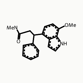 CNC(=O)CC(c1ccccc1)c1ccc(OC)c2[nH]ccc12